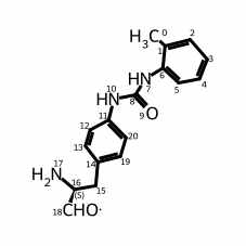 Cc1ccccc1NC(=O)Nc1ccc(C[C@H](N)[C]=O)cc1